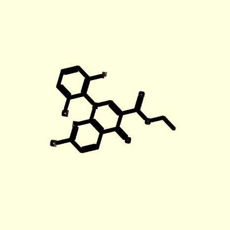 CCOC(=O)c1cn(-c2c(F)cccc2Cl)c2nc(Cl)ccc2c1=O